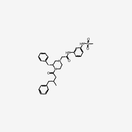 CC(CC(=O)N1CCN(CC(=O)Nc2cccc(NS(C)(=O)=O)c2)CC1Cc1ccccc1)Cc1ccccc1